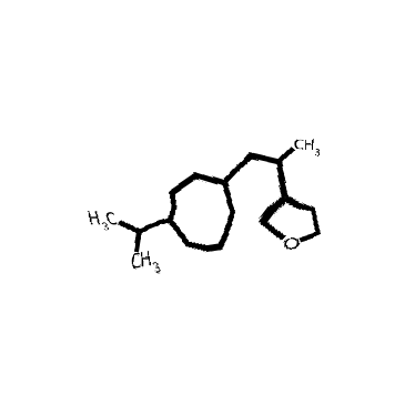 CC(C)C1CCCC(CC(C)C2CCOC2)CC1